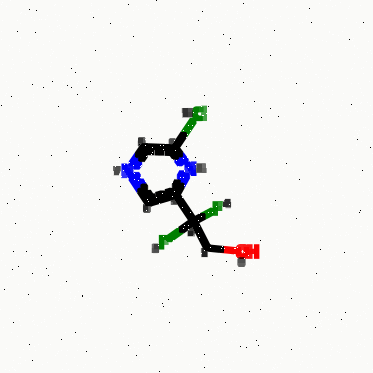 OCC(F)(F)c1cncc(Cl)n1